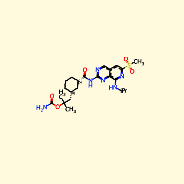 CC(C)Nc1nc(S(C)(=O)=O)cc2cnc(NC(=O)[C@H]3CCC[C@@H](CC(C)(C)OC(N)=O)C3)nc12